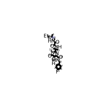 CCO/C(C)=N\NC(=O)C(=O)NC(C)(C)c1nc(C(=O)NCc2ccc(F)cc2)c(O)c(=O)n1C